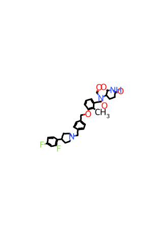 Cc1c(OCc2ccc(CN3CCC(c4ccc(F)cc4F)CC3)cc2)cccc1C(=O)N(C=O)C1CCC(=O)NC1=O